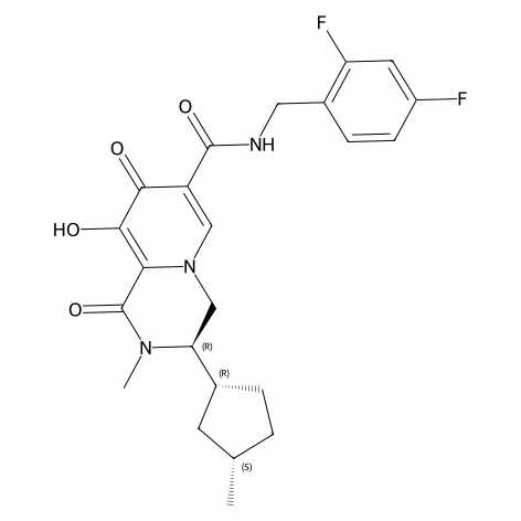 C[C@H]1CC[C@@H]([C@@H]2Cn3cc(C(=O)NCc4ccc(F)cc4F)c(=O)c(O)c3C(=O)N2C)C1